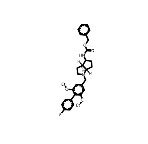 CCOc1cc(CN2CC[C@@H]3C(NC(=O)OCc4ccccc4)CC[C@@H]32)cc(OCC)c1-c1ccc(F)cc1